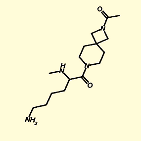 CNC(CCCCN)C(=O)N1CCC2(CC1)CN(C(C)=O)C2